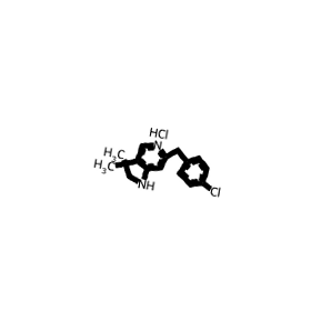 CC1(C)CNc2cc(Cc3ccc(Cl)cc3)ncc21.Cl